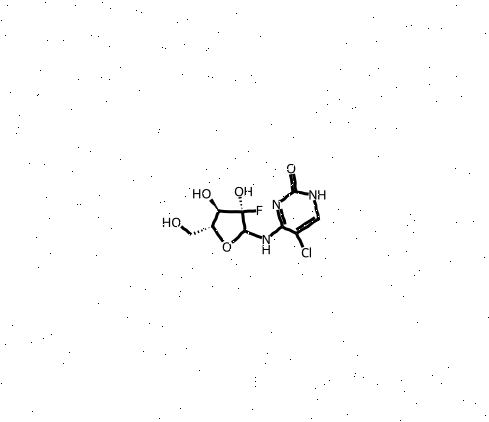 O=c1nc(NC2O[C@H](CO)[C@@H](O)[C@@]2(O)F)c(Cl)c[nH]1